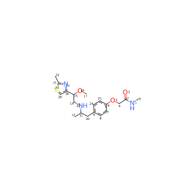 CNC(=O)COc1ccc(CC(C)NCC(OC)c2csc(C)n2)cc1